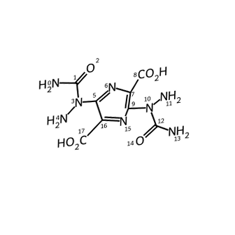 NC(=O)N(N)c1nc(C(=O)O)c(N(N)C(N)=O)nc1C(=O)O